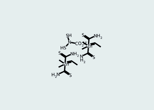 C[CH]=[Zn]([CH3])([CH3])([C](N)=S)[C](N)=S.C[CH]=[Zn]([CH3])([CH3])([C](N)=S)[C](N)=S.O=C(O)N(S)S